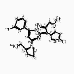 CCOCc1nn2c(-c3cccc(F)c3)cc(N3CCCC3CO)nc2c1-c1ccc(Cl)cc1